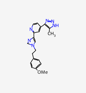 COc1ccc(CCn2cnc(-c3cc(-c4nn[nH]c4C)ccn3)c2)cc1